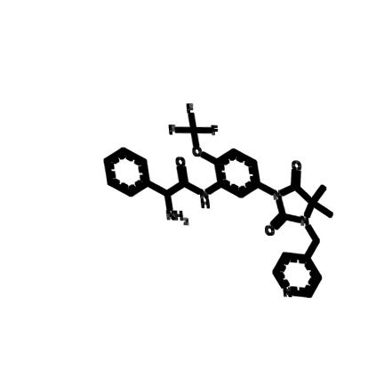 CC1(C)C(=O)N(c2ccc(OC(F)(F)F)c(NC(=O)C(N)c3ccccc3)c2)C(=O)N1Cc1ccncc1